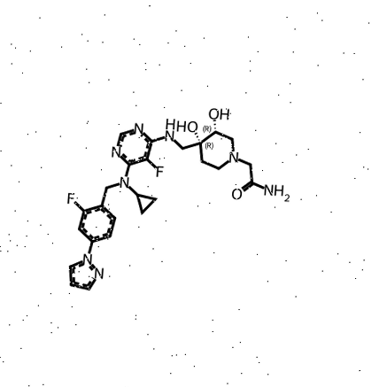 NC(=O)CN1CC[C@@](O)(CNc2ncnc(N(Cc3ccc(-n4cccn4)cc3F)C3CC3)c2F)[C@H](O)C1